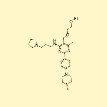 CCOCCOCc1c(C)nc(-c2ccc(N3CCN(C)CC3)cc2)nc1NCCCN1CCCC1